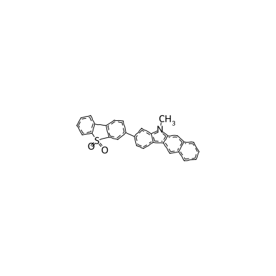 Cn1c2cc(-c3ccc4c(c3)S(=O)(=O)c3ccccc3-4)ccc2c2cc3ccccc3cc21